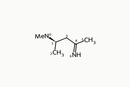 CN[C@H](C)CC(C)=N